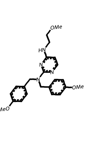 COCCNc1ccnc(N(Cc2ccc(OC)cc2)Cc2ccc(OC)cc2)n1